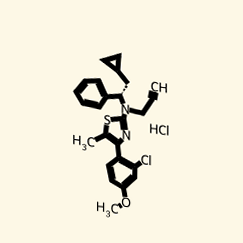 C#CCN(c1nc(-c2ccc(OC)cc2Cl)c(C)s1)[C@@H](CC1CC1)c1ccccc1.Cl